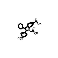 COC(=O)CN1c2cc(C(=O)OC)ccc2C(C2CCCCC2)C1c1ccc(O)cc1